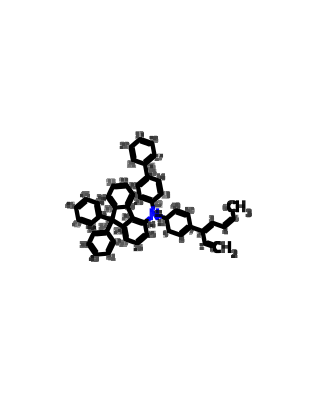 C=C/C(=C\C=C/C)C1=CCC(N(c2ccc(-c3ccccc3)cc2)c2cccc3c2-c2ccccc2C3(c2ccccc2)c2ccccc2)C=C1